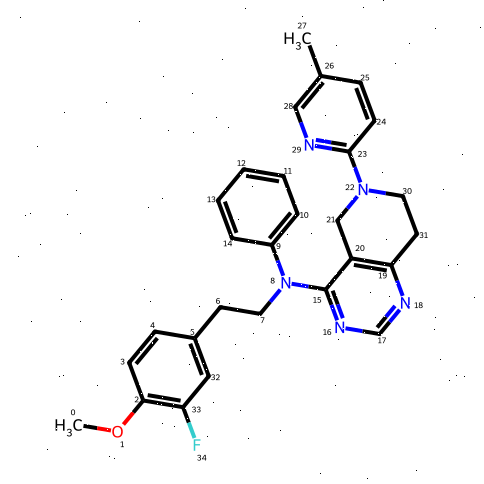 COc1ccc(CCN(c2ccccc2)c2ncnc3c2CN(c2ccc(C)cn2)CC3)cc1F